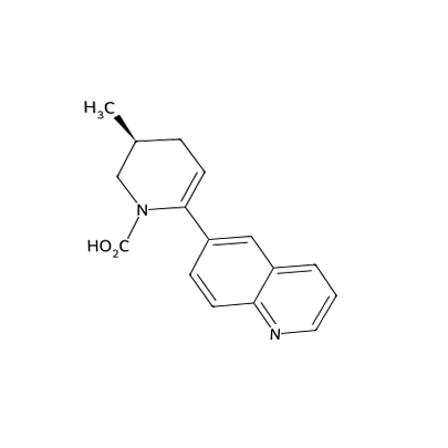 C[C@H]1CC=C(c2ccc3ncccc3c2)N(C(=O)O)C1